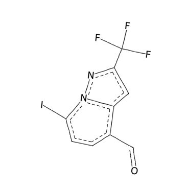 O=Cc1ccc(I)n2nc(C(F)(F)F)cc12